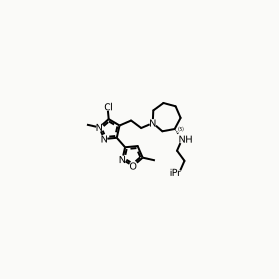 Cc1cc(-c2nn(C)c(Cl)c2CCN2CCCC[C@H](NCCC(C)C)C2)no1